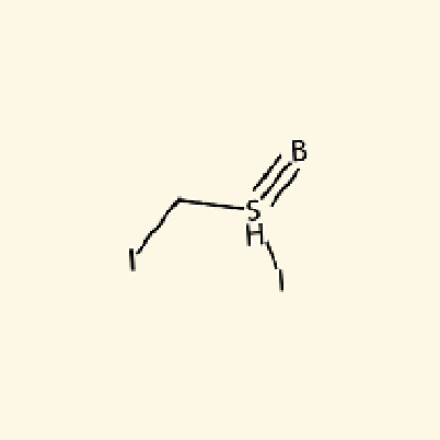 B#[SH](I)CI